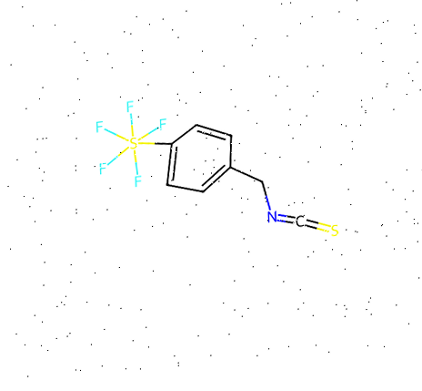 FS(F)(F)(F)(F)c1ccc(CN=C=S)cc1